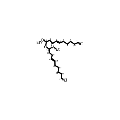 CCOC(CCC=CCCCCCCl)OC(CCC=CCCCCCCl)OCC